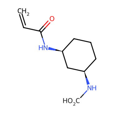 C=CC(=O)N[C@H]1CCC[C@@H](NC(=O)O)C1